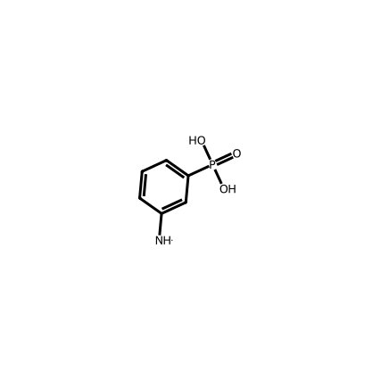 [NH]c1cccc(P(=O)(O)O)c1